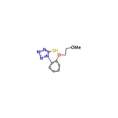 COCCOc1ccccc1-n1nnnc1S